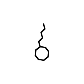 CCCCC[C]1CCCCCCC1